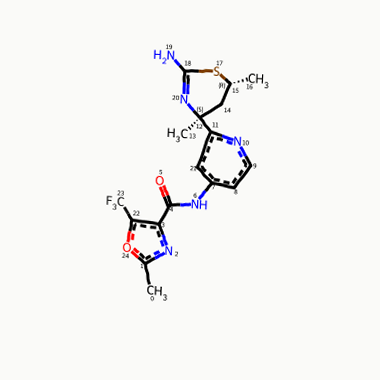 Cc1nc(C(=O)Nc2ccnc([C@]3(C)C[C@@H](C)SC(N)=N3)c2)c(C(F)(F)F)o1